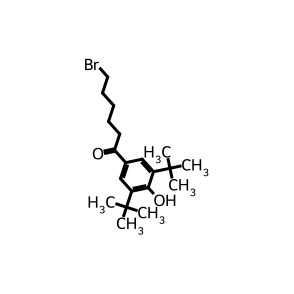 CC(C)(C)c1cc(C(=O)CCCCCBr)cc(C(C)(C)C)c1O